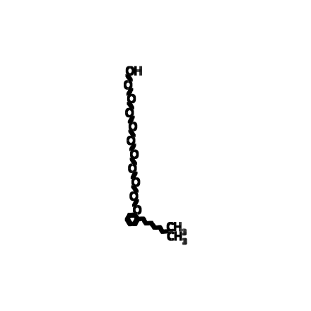 CC(C)CCCCCCc1ccccc1OCCOCCOCCOCCOCCOCCOCCOCCOCCOCCO